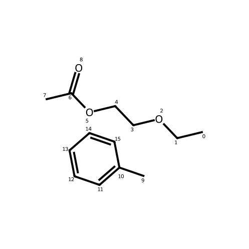 CCOCCOC(C)=O.Cc1ccccc1